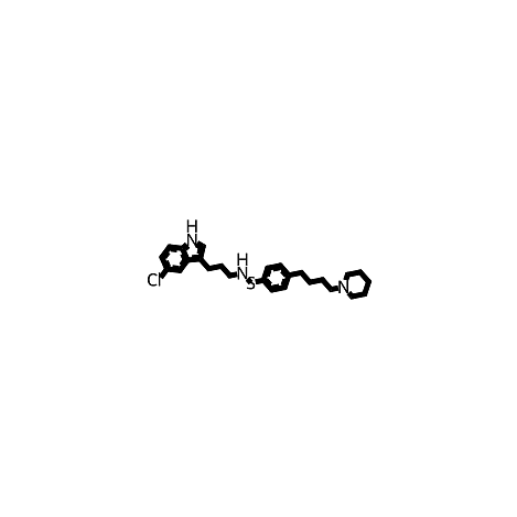 Clc1ccc2[nH]cc(CCCNSc3ccc(CCCCN4CCCCC4)cc3)c2c1